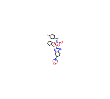 C[C@H](c1ccc(F)cc1)N1C(=O)O[C@](Cc2ccccc2)(c2nc3cc(N4CCOCC4)ccc3[nH]2)C1=O